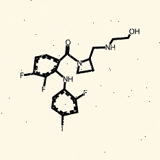 O=C(c1ccc(F)c(F)c1Nc1ccc(I)cc1F)N1CCC1CNCCO